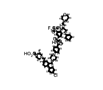 C[C@H]1CN(C[C@]2(C)CCC(c3ccc(Cl)cc3)=C(CN3CCN(c4ccc(C(=O)NS(=O)(=O)c5ccc(N[C@H](CCN6CCCOCC6)CSc6ccccc6)c(S(=O)(=O)C(F)(F)F)c5)cc4)CC3)C2)CCN1C(=O)O